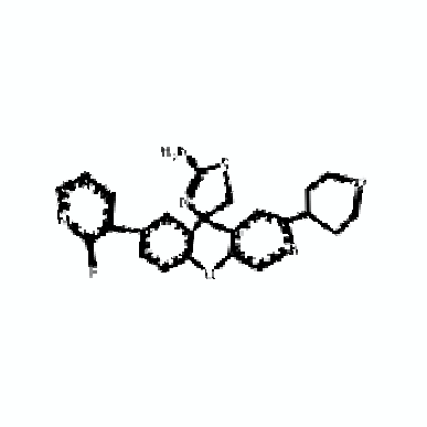 NC1=NC2(CS1)c1cc(-c3cccnc3F)ccc1Oc1cnc(C3CCOCC3)cc12